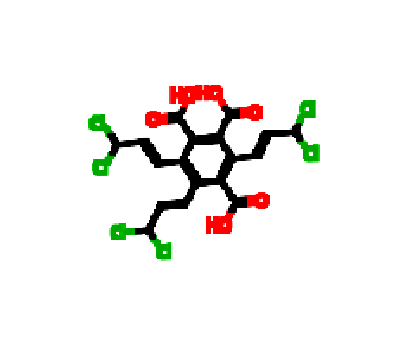 O=C(O)c1c(/C=C/C(Cl)Cl)c(/C=C/C(Cl)Cl)c(C(=O)O)c(C(=O)O)c1/C=C/C(Cl)Cl